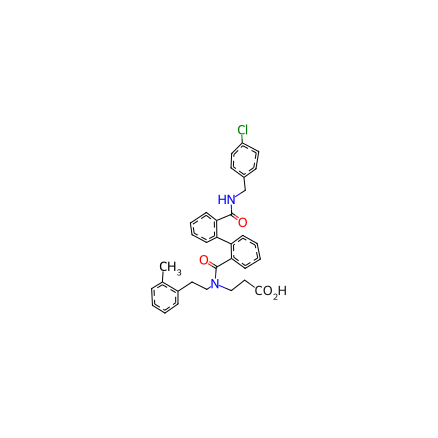 Cc1ccccc1CCN(CCC(=O)O)C(=O)c1ccccc1-c1ccccc1C(=O)NCc1ccc(Cl)cc1